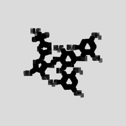 Cc1cc(C)c(Nc2cc(C)c(N=Nc3c(C#N)c(C(C)(C)C)nn3-c3nnc(S(C)(=O)=O)s3)c(Nc3c(C)cc(C)cc3C)n2)c(C)c1